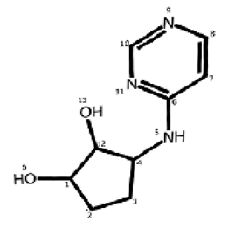 OC1[CH]CC(Nc2ccncn2)C1O